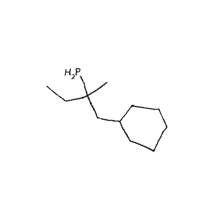 CCC(C)(P)CC1CCCCC1